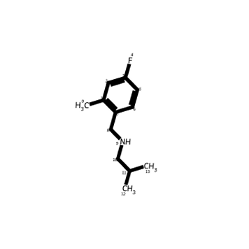 Cc1cc(F)ccc1CNCC(C)C